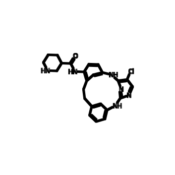 O=C(Nc1ccc2cc1CCc1cccc(c1)Nc1ncc(Cl)c(n1)N2)C1CCCNC1